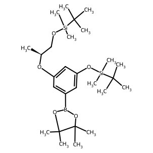 C[C@@H](CO[Si](C)(C)C(C)(C)C)Oc1cc(O[Si](C)(C)C(C)(C)C)cc(B2OC(C)(C)C(C)(C)O2)c1